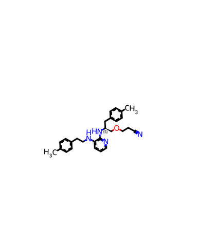 Cc1ccc(CCNc2cccnc2N[C@H](COCCC#N)Cc2ccc(C)cc2)cc1